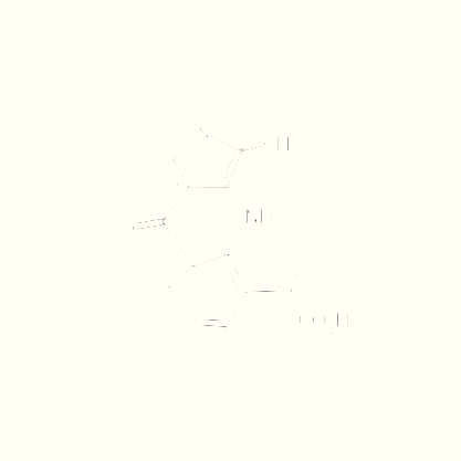 Cc1scc2c(=O)c3cccc(OC(=O)O)c3[nH]c12